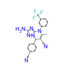 CC1=C(C#N)C(c2ccc(C#N)cc2)n2nc(N)nc2N1c1cccc(C(F)(F)F)c1